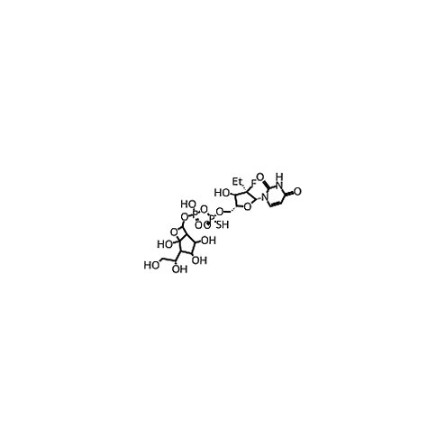 CC[C@@]1(F)[C@H](O)[C@@H](COP(=O)(S)OP(=O)(O)OC2OC3(O)C2C(O)C(O)C3[C@@H](O)CO)O[C@H]1n1ccc(=O)[nH]c1=O